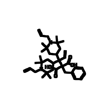 C=CCN1C(C)(C)CC(C(C=C)(C2CC(C)(C)N(CC=C)C(C)(C)C2)C(Cc2ccccc2)(C(=O)O)C(=O)O)CC1(C)C